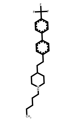 CCCCC[SiH]1CCC(CCc2ccc(-c3ccc(C(F)(F)F)cc3)cc2)CC1